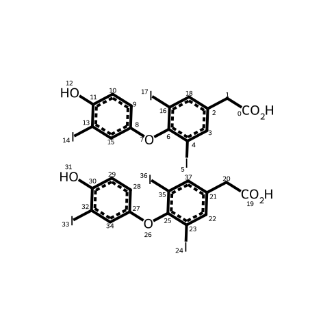 O=C(O)Cc1cc(I)c(Oc2ccc(O)c(I)c2)c(I)c1.O=C(O)Cc1cc(I)c(Oc2ccc(O)c(I)c2)c(I)c1